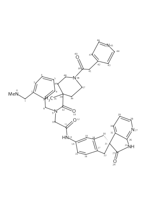 CNCc1ccccc1CN(CC(=O)Nc1ccc2c(c1)C[C@@]1(C2)C(=O)Nc2ncccc21)C(=O)C1(C)CCN(C(=O)Cc2ccncc2)CC1